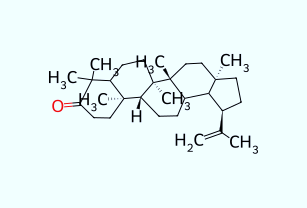 C=C(C)[C@@H]1CC[C@]2(C)CC[C@]3(C)C(CC[C@@H]4[C@@]5(C)CCC(=O)C(C)(C)C5CC[C@]43C)C12